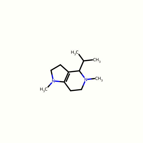 CC(C)C1C2=C(CCN1C)N(C)CC2